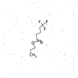 CCC[O][Sn](=[O])[CH2]CCC(F)(F)F